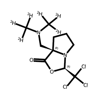 [2H]C([2H])([2H])N(C[C@@]12CCCN1[C@@H](C(Cl)(Cl)Cl)OC2=O)C([2H])([2H])[2H]